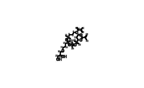 C=C(C)C(=C)OCCC[Si](C)(C)O[Si](C)(CCCOCC(O)CO)O[Si](C)(C)O[Si](C)(C)CCCOC(=O)C(=C)C